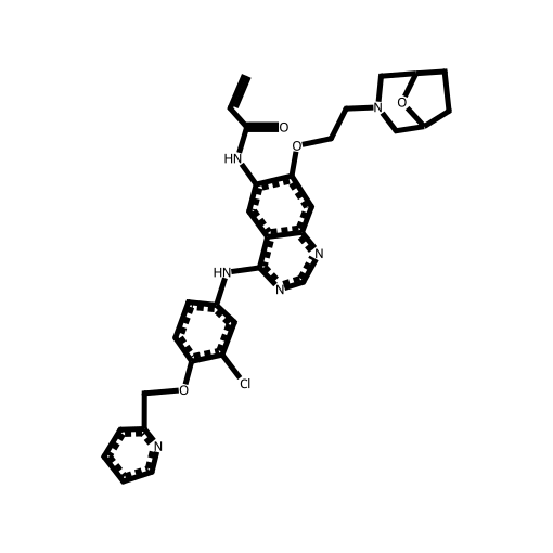 C=CC(=O)Nc1cc2c(Nc3ccc(OCc4ccccn4)c(Cl)c3)ncnc2cc1OCCN1CC2CCC(C1)O2